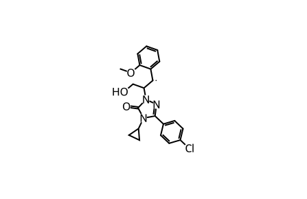 COc1ccccc1[CH]C(CO)n1nc(-c2ccc(Cl)cc2)n(C2CC2)c1=O